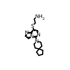 NCCSc1cnc(N2CCC3(CCCC3)CC2)n2ccnc12